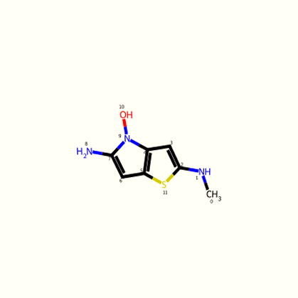 CNc1cc2c(cc(N)n2O)s1